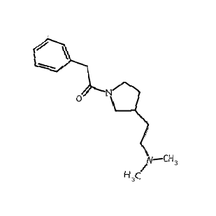 CN(C)CCC1CCN(C(=O)Cc2c[c]ccc2)C1